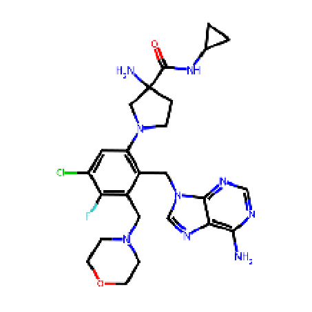 Nc1ncnc2c1ncn2Cc1c(N2CCC(N)(C(=O)NC3CC3)C2)cc(Cl)c(F)c1CN1CCOCC1